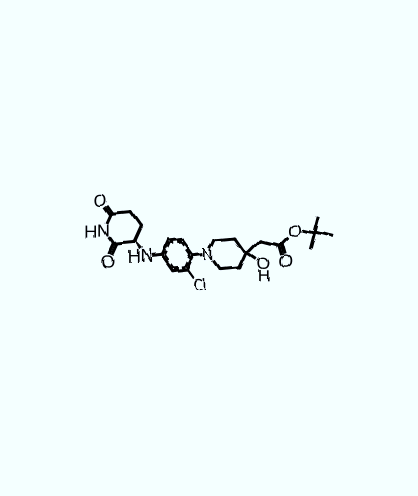 CC(C)(C)OC(=O)CC1(O)CCN(c2ccc(N[C@@H]3CCC(=O)NC3=O)cc2Cl)CC1